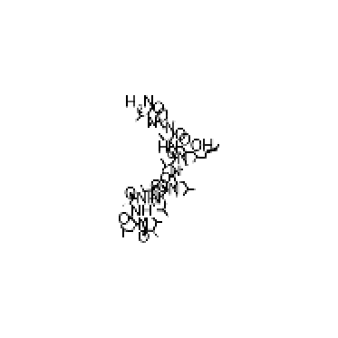 C/C=C/C[C@@H](C)[C@H](O)C(C(=O)N[C@H](CC)C(=O)N(C)CC(=O)N(C)[C@H](C(N)=O)C(C)C)N(C)C(=O)[C@H](C(C)C)N(C)C(=O)[C@@H](CC(C)C)N(C)C(=O)[C@@H](CC(C)C)N(C)C(=O)[C@H](C)NC(=O)[C@@H](C)NC(=O)[C@H](CC(C)C)N(C)C(=O)[C@H](C)C(C)C